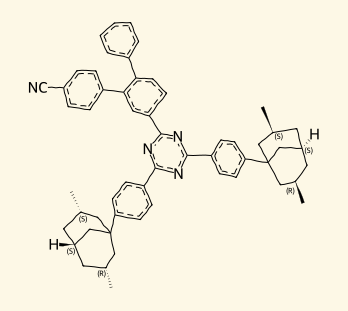 C[C@@H]1C[C@@H]2C[C@H](C)CC(c3ccc(-c4nc(-c5ccc(C67C[C@H](C)C[C@H](C[C@H](C)C6)C7)cc5)nc(-c5ccc(-c6ccccc6)c(-c6ccc(C#N)cc6)c5)n4)cc3)(C1)C2